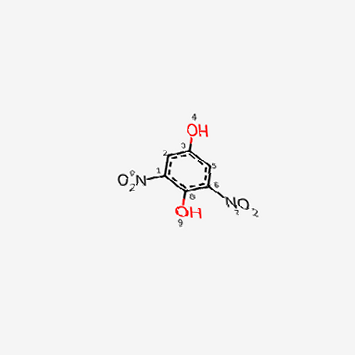 O=[N+]([O-])c1cc(O)cc([N+](=O)[O-])c1O